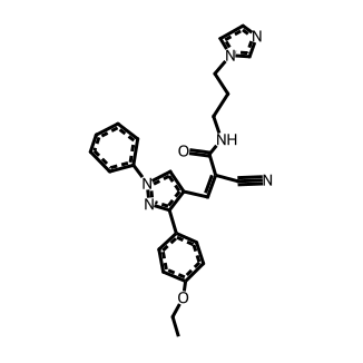 CCOc1ccc(-c2nn(-c3ccccc3)cc2C=C(C#N)C(=O)NCCCn2ccnc2)cc1